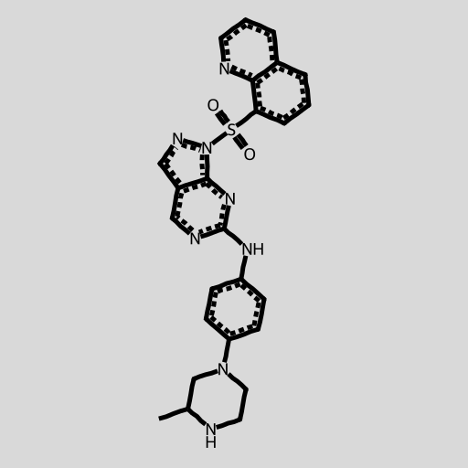 CC1CN(c2ccc(Nc3ncc4cnn(S(=O)(=O)c5cccc6cccnc56)c4n3)cc2)CCN1